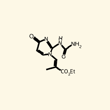 CCOC(=O)C(C)=Cn1ccc(=O)nc1NC(N)=O